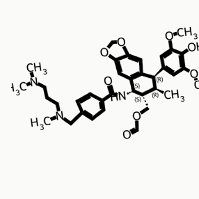 COc1cc([C@@H]2c3cc4c(cc3[C@@H](NC(=O)c3ccc(CN(C)CCCN(C)C)cc3)[C@@H](COC=O)[C@@H]2C)OCO4)cc(OC)c1O